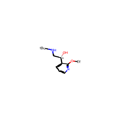 CCOc1ncccc1[C@@H](O)CNC(C)(C)C